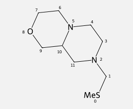 CSCN1CCN2CCOCC2C1